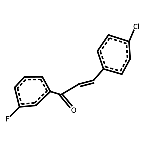 O=C(C=Cc1ccc(Cl)cc1)c1cccc(F)c1